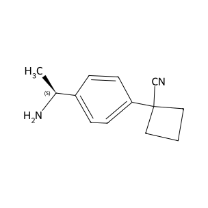 C[C@H](N)c1ccc(C2(C#N)CCC2)cc1